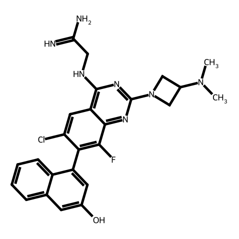 CN(C)C1CN(c2nc(NCC(=N)N)c3cc(Cl)c(-c4cc(O)cc5ccccc45)c(F)c3n2)C1